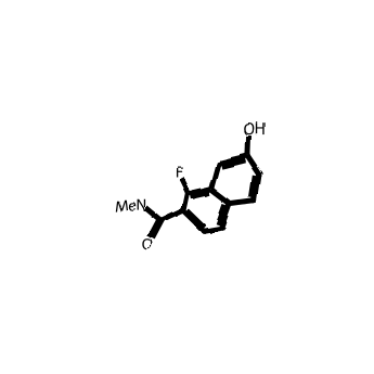 CNC(=O)c1ccc2ccc(O)cc2c1F